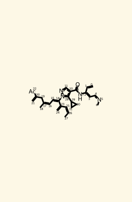 C=C/C(=C\C=N/C)NC(=O)c1cnn(/C(=C/C=C(/C)CC(=C)C(C)=O)C(=C)/C=C\C)c1C1CC1